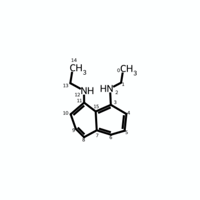 CCNc1cccc2cccc(NCC)c12